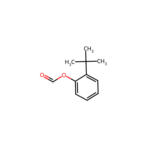 CC(C)(C)c1ccccc1O[C]=O